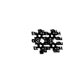 CCc1c(CP(=O)([O-])Cc2cc(C(C)(C)C)c(O)c(C(C)(C)C)c2CC)cc(C(C)(C)C)c(O)c1C(C)(C)C.CCc1c(CP(=O)([O-])Cc2cc(C(C)(C)C)c(O)c(C(C)(C)C)c2CC)cc(C(C)(C)C)c(O)c1C(C)(C)C.[Ni+2]